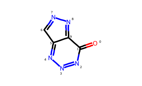 O=C1N=NN=C2C=NN=C12